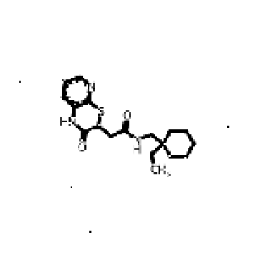 CCC1(CNC(=O)CC2Sc3ncccc3NC2=O)CCCCC1